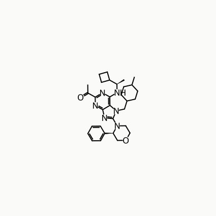 CC(=O)c1nc(N[C@H](C)C2CCC2)c2c(n1)nc(N1CCOC[C@H]1c1ccccc1)n2CC1CCC(C)CC1